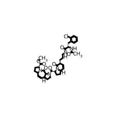 COC(=O)[C@@H]1CCC2C=C[C@H]3CCN(C(=O)[C@@H]4CC[C@H]5C=C[C@H](CCCNC(=O)[C@H](Cc6ccccc6Cl)NC(C)=O)C(=O)N54)C3C(=O)N21